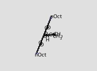 CCCCCCCC/C=C/CCCCCCCC(=O)OCCCCCCC(CCCCCCOC(=O)CCCCCCC/C=C/CCCCCCCC)OC(=O)NCCOCCN(C)C